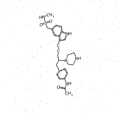 CNS(=O)(=O)Cc1ccc2[nH]cc(CCCC(Cc3ccc(NC(C)=O)cc3)N3CCNCC3)c2c1